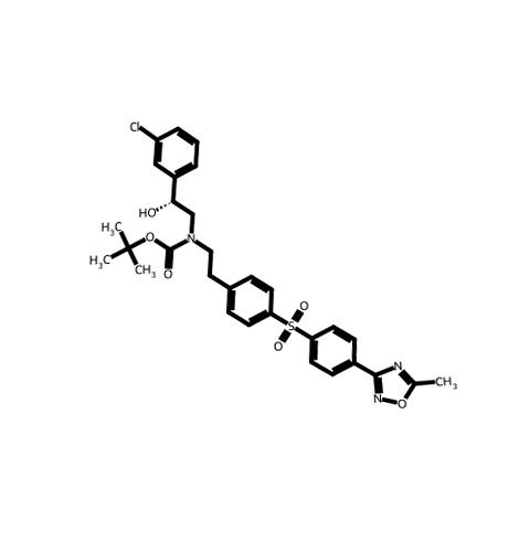 Cc1nc(-c2ccc(S(=O)(=O)c3ccc(CCN(C[C@H](O)c4cccc(Cl)c4)C(=O)OC(C)(C)C)cc3)cc2)no1